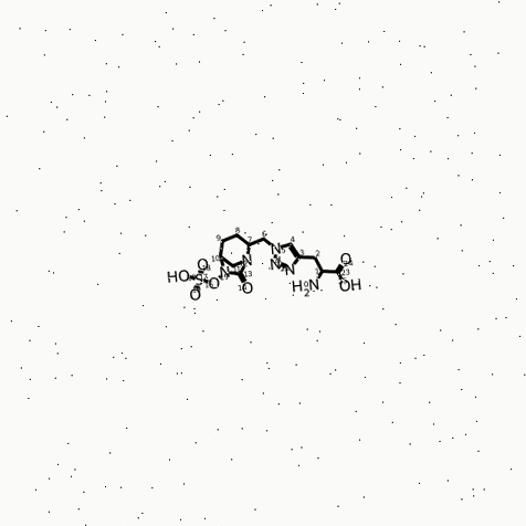 NC(Cc1cn(CC2CCC3CN2C(=O)N3OS(=O)(=O)O)nn1)C(=O)O